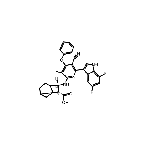 N#Cc1c(-c2c[nH]c3c(F)cc(F)cc23)nc(N[C@H]2C3CCC4CC3[C@@]42C(=O)O)c(F)c1Oc1ccccc1